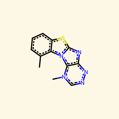 Cc1cccc2sc3nc4nnc[n+](C)c4n3c12